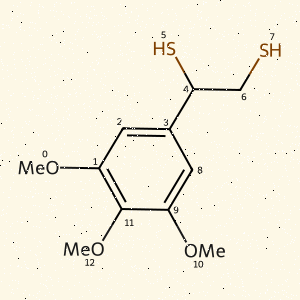 COc1cc(C(S)CS)cc(OC)c1OC